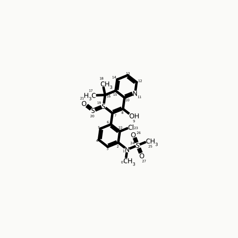 CN(c1cccc(C2=C(O)c3ncccc3C(C)(C)S2=S=O)c1Cl)S(C)(=O)=O